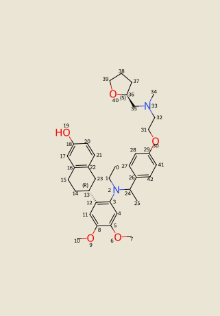 CCN(c1cc(OC)c(OC)cc1[C@@H]1CCc2cc(O)ccc2C1)C(C)c1ccc(OCCN(C)C[C@@H]2CCCO2)cc1